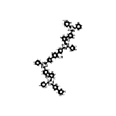 N#Cc1cc(-c2ccc(-c3nc(-c4ccccc4)nc(-c4ccc5oc6c(-c7nc(-c8ccccc8)nc(-c8ccc(-c9ccccc9)cc8)n7)cccc6c5c4)n3)cc2)ccc1-c1ccc(-c2nc(-c3ccccc3)nc(-c3cccc4c3oc3ccc(-c5nc(-c6ccccc6)nc(-c6ccccc6)n5)cc34)n2)cc1